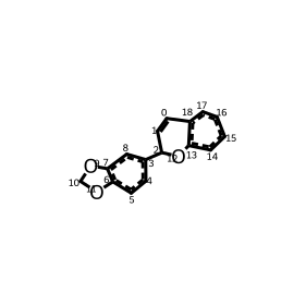 C1=CC(c2ccc3c(c2)OCO3)Oc2ccccc21